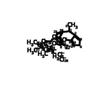 CC1C2=CC[C](=C2OCO[Si](C)(C)C)[Zr+2][C]2=C(OCO[Si](C)(C)C)C1=CC2.[Cl-].[Cl-]